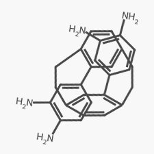 Nc1ccc(-c2cc3ccc2CCc2ccc(c(-c4ccc(N)c(N)c4)c2)CC3)cc1N